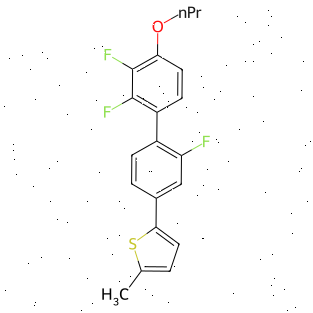 CCCOc1ccc(-c2ccc(-c3ccc(C)s3)cc2F)c(F)c1F